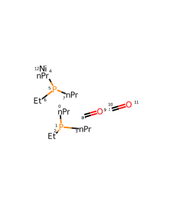 CCCP(CC)CCC.CCCP(CC)CCC.[C]=O.[C]=O.[Ni]